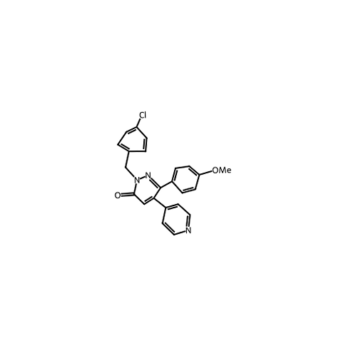 COc1ccc(-c2nn(Cc3ccc(Cl)cc3)c(=O)cc2-c2ccncc2)cc1